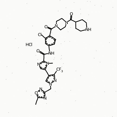 Cc1nc(Cn2cc(-c3cnc(C(=O)Nc4ccc(C(=O)N5CCN(C(=O)C6CCNCC6)CC5)c(Cl)c4)n3C)c(C(F)(F)F)n2)no1.Cl